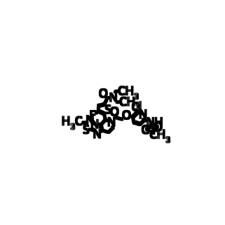 CCN(CC)C(=O)c1cc(F)c(C2c3c(nc4sc(C)nn34)CCN2C(=O)COc2ccc(NS(C)(=O)=O)nc2Cl)s1